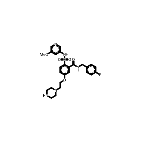 COc1cncc(NS(=O)(=O)c2ccc(OCCN3CCNCC3)cc2C(=O)NCc2ccc(F)cc2)c1